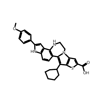 COc1ccc(-c2cc3c4c(ccc3[nH]2)-c2c(C3CCCCC3)c3sc(C(=O)O)cc3n2CCN4)cc1